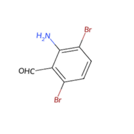 Nc1c(Br)ccc(Br)c1C=O